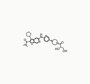 CN(C)C(=O)c1sc2cnc(Nc3ccc(N4CCN(C(=O)C(O)CO)CC4)cn3)cc2c1C1CCCC1